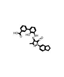 CC1=NN(c2ccc3c(c2)CCC3)C(=C=O)C1=NNc1cccc(-c2cccc(C(=O)O)c2)c1O